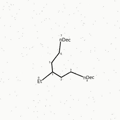 [CH2]CC(CCCCCCCCCCCC)CCCCCCCCCCCC